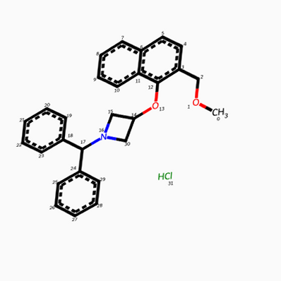 COCc1ccc2ccccc2c1OC1CN(C(c2ccccc2)c2ccccc2)C1.Cl